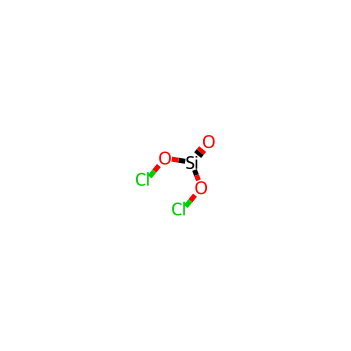 O=[Si](OCl)OCl